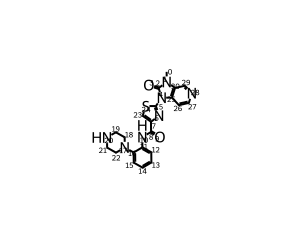 Cn1c(=O)n(-c2nc(C(=O)Nc3ccccc3N3CCNCC3)cs2)c2ccncc21